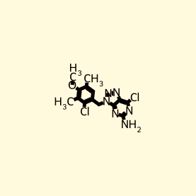 COc1c(C)cc(Cn2nnc3c(Cl)nc(N)nc32)c(Cl)c1C